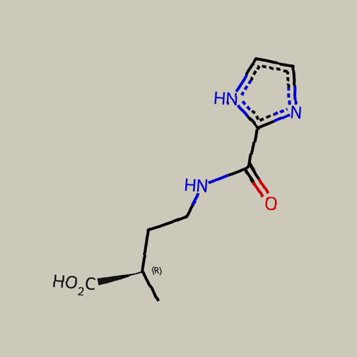 C[C@H](CCNC(=O)c1ncc[nH]1)C(=O)O